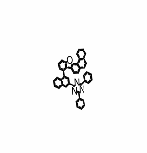 c1ccc(-c2nc(-c3ccccc3)nc(-c3cc(-c4cccc5oc6c(ccc7ccc8ccccc8c76)c45)c4ccccc4c3)n2)cc1